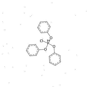 Cl[PH](Oc1ccccc1)(Oc1ccccc1)Oc1ccccc1